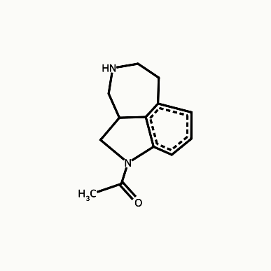 CC(=O)N1CC2CNCCc3cccc1c32